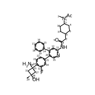 CC(=O)N(C)C1CCC(CC(=O)Nc2cc(-c3ccccc3)c(-c3ccc([C@]4(N)C[C@](C)(O)C4)c(F)c3)cn2)CC1